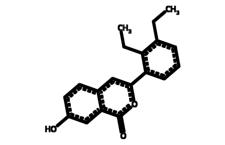 CCc1cccc(-c2cc3ccc(O)cc3c(=O)o2)c1CC